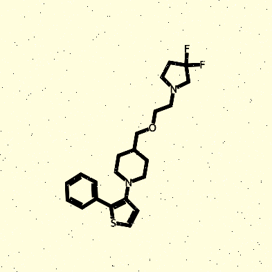 FC1(F)CCN(CCOCC2CCN(c3ccsc3-c3ccccc3)CC2)C1